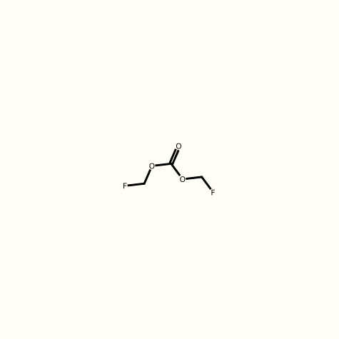 O=C(OCF)OCF